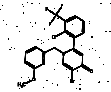 COc1cccc(Cn2cc(Br)c(=O)cc2-c2cccc(C(F)(F)F)c2Cl)c1